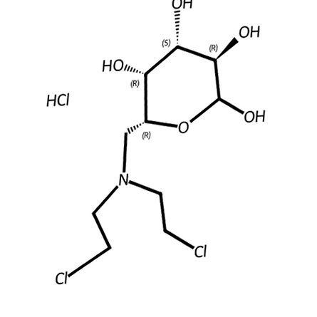 Cl.OC1O[C@H](CN(CCCl)CCCl)[C@H](O)[C@H](O)[C@H]1O